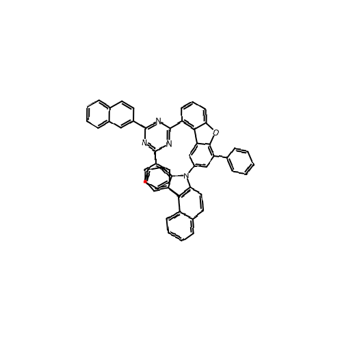 c1ccc(-c2nc(-c3ccc4ccccc4c3)nc(-c3cccc4oc5c(-c6ccccc6)cc(-n6c7ccccc7c7c8ccccc8ccc76)cc5c34)n2)cc1